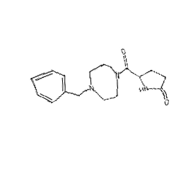 O=C1CCC(C(=O)N2CCN(Cc3ccccc3)CC2)N1